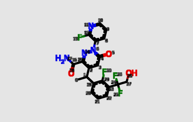 CC(c1cc(=O)n(-c2cccnc2F)nc1C(N)=O)c1cccc(C(F)(F)CO)c1F